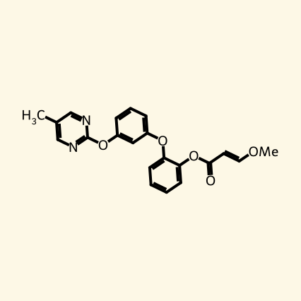 COC=CC(=O)Oc1ccccc1Oc1cccc(Oc2ncc(C)cn2)c1